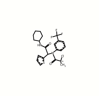 C[C@H](Cl)C(=O)N(c1cccc(C(F)(F)F)c1)C(C(=O)NC1CCCCC1)c1cccs1